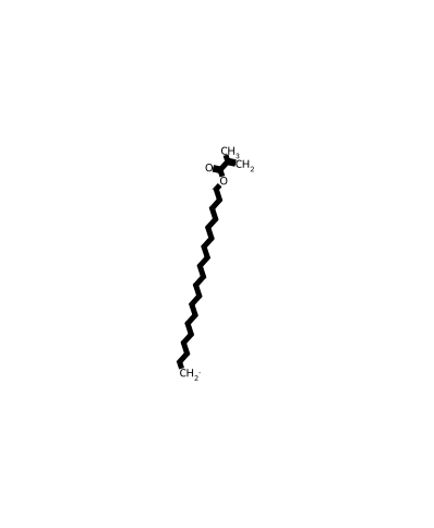 [CH2]CCCCCCCCCCCCCCCCCC[CH]OC(=O)C(=C)C